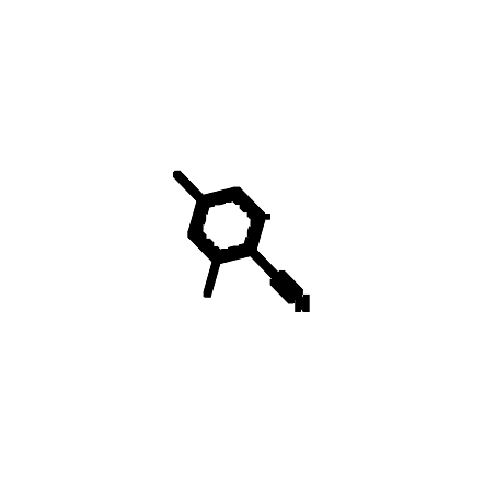 Cc1c[c]c(C#N)c(C)c1